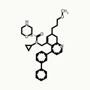 COCCCC1C=C(CN(C(=O)[C@H]2CNCCO2)C2CC2)c2c(-c3cccc(-c4ccccc4)c3)ccnc2C1